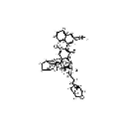 CC(C)(C)OC(=O)N1C2CCC1CN(c1nc(OCCCN3C4CCC3COC4)nc3c(F)c(-c4cc(N)cc5ccccc45)c(Cl)cc13)C2